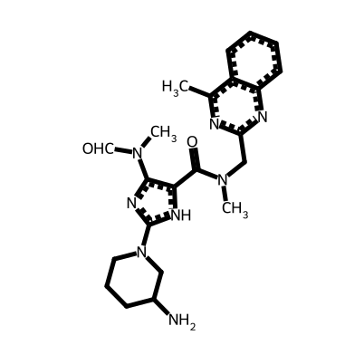 Cc1nc(CN(C)C(=O)c2[nH]c(N3CCCC(N)C3)nc2N(C)C=O)nc2ccccc12